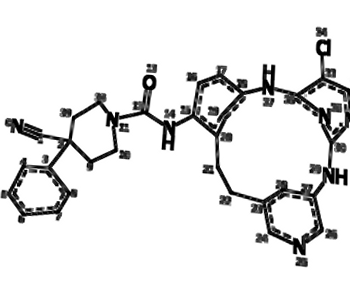 N#CC1(c2ccccc2)CCN(C(=O)Nc2ccc3cc2CCc2cncc(c2)Nc2ncc(Cl)c(n2)N3)CC1